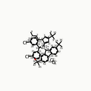 CCCCC1C=C(C(C)(C)C)C=[C]1[Zr+2](=[C](c1cccc(Cl)c1)c1cccc(Cl)c1)[CH]1c2cc(C(C)(C)C)ccc2-c2ccc(C(C)(C)C)cc21.[Cl-].[Cl-]